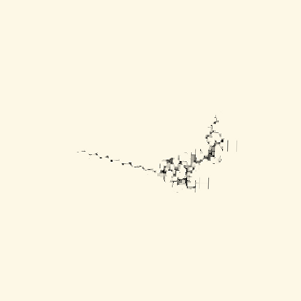 CCCCCCCCCCCCCCCC(=O)OC1C(SC)OC(CC(Cl)CNC(=O)C2CCC(CCC)CCN2)C(O)C1O